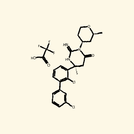 C[C@H]1C[C@@H](N2C(=N)N[C@](C)(c3cccc(-c4cccc(Cl)c4)c3Cl)CC2=O)CCO1.O=C(O)C(F)(F)F